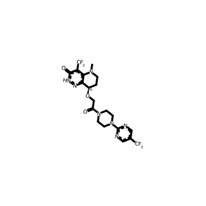 CN1CC[C@@H](OCC(=O)N2CCN(c3ncc(C(F)(F)F)cn3)CC2)c2n[nH]c(=O)c(C(F)(F)F)c21